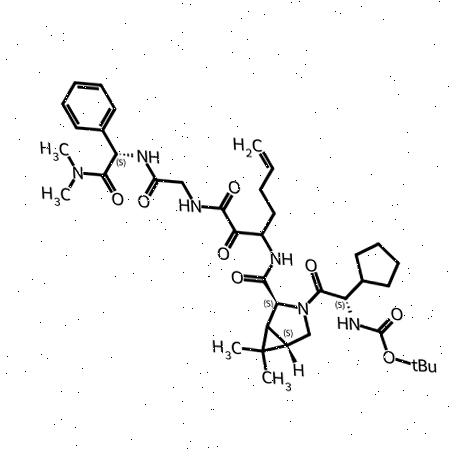 C=CCCC(NC(=O)[C@@H]1C2[C@H](CN1C(=O)[C@@H](NC(=O)OC(C)(C)C)C1CCCC1)C2(C)C)C(=O)C(=O)NCC(=O)N[C@H](C(=O)N(C)C)c1ccccc1